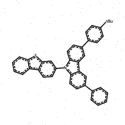 CCCCc1ccc(-c2ccc3c(c2)c2cc(-c4ccccc4)ccc2n3-c2ccc3c(c2)sc2ccccc23)cc1